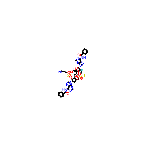 CC(C)(C)[Si](C)(C)O[C@H]1[C@H]2OP(=S)(OCCC#N)OC[C@H]3O[C@@H](n4cnc5c(NC(=O)c6ccccc6)ncnc54)[C@H](F)[C@@H]3OP(=O)(S)O[C@H]1C[C@H]2n1cnc2c(NC(=O)c3ccccc3)ncnc21